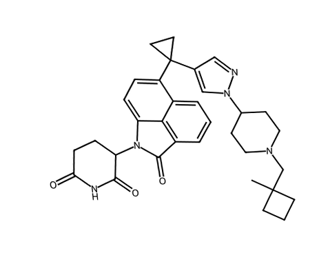 CC1(CN2CCC(n3cc(C4(c5ccc6c7c(cccc57)C(=O)N6C5CCC(=O)NC5=O)CC4)cn3)CC2)CCC1